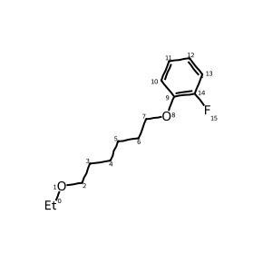 CCOCCCCCCOc1ccc[c]c1F